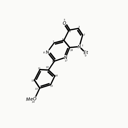 CCn1ccc(=O)c2cnc(-c3ccc(OC)cc3)nc21